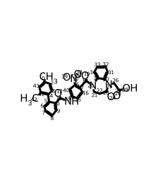 Cc1ccc(-c2ccccc2C(=O)Nc2ccc(C(=O)N3CCC(=O)N(CC(=O)O)c4ccccc43)c([N+](=O)[O-])c2)c(C)c1